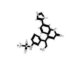 CCC(c1cccc(NS(N)(=O)=O)c1)c1cc(=O)oc2cc(-c3cncs3)ccc12